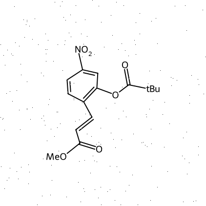 COC(=O)/C=C/c1ccc([N+](=O)[O-])cc1OC(=O)C(C)(C)C